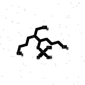 CCCCC(CC)C(CCCC)OP(=O)(O)O